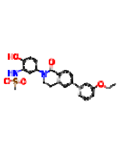 CCOc1cccc(-c2ccc3c(c2)CCN(c2ccc(O)c(NS(C)(=O)=O)c2)C3=O)c1